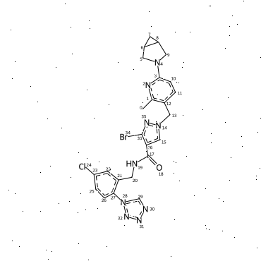 Cc1nc(N2CC3CC3C2)ccc1Cn1cc(C(=O)NCc2cc(Cl)ccc2-n2cnnn2)c(Br)n1